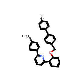 O=C(O)c1ccc(-c2cccc(-c3ccccc3OCc3ccc(-c4ccc(C(F)(F)F)cc4)cc3)n2)cc1